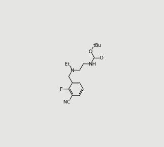 CCN(CCNC(=O)OC(C)(C)C)Cc1cccc(C#N)c1F